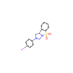 O=S1(=O)c2ccccc2C2CN(c3ccc(I)cc3)CN21